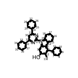 Oc1cc2c(c(-c3ccccc3)c1I)c1ccccc1n2-c1nc(-c2ccccc2)cc(-c2ccccc2)n1